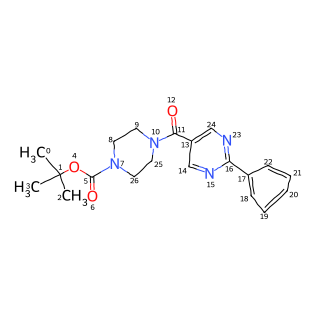 CC(C)(C)OC(=O)N1CCN(C(=O)c2cnc(-c3ccccc3)nc2)CC1